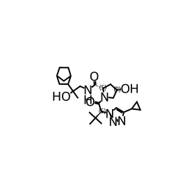 CC(O)(CNC(=O)[C@@H]1C[C@@H](O)CN1C(=O)[C@@H](n1cc(C2CC2)nn1)C(C)(C)C)C1CC2CCC1C2